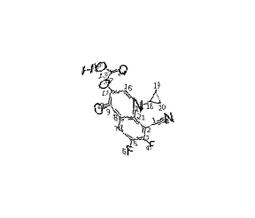 N#Cc1c(F)c(F)cc2c(=O)c(OC(=O)O)cn(C3CC3)c12